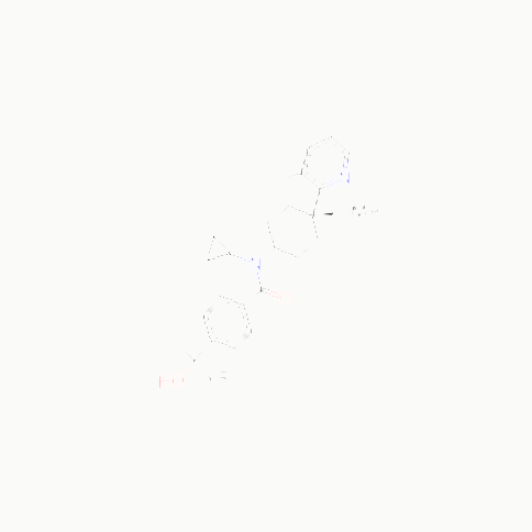 CO[C@]1(c2ncccc2F)CC[C@@H](N(C(=O)c2ccc([C@](C)(O)C(F)(F)F)cc2)C2CC2)CC1